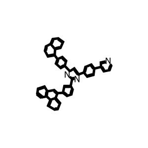 c1ccc2cc(-c3cccc(-c4nc(-c5ccc(-c6cccnc6)cc5)cc(-c5ccc(-c6cccc7ccccc67)cc5)n4)c3)c3ccccc3c2c#1